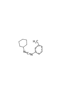 Cc1cccc(N=C=NC2CCCCC2)c1